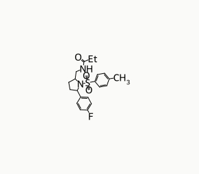 CCC(=O)NCC1CCC(c2ccc(F)cc2)N1S(=O)(=O)c1ccc(C)cc1